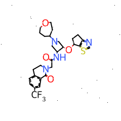 O=C(CN1CCc2ccc(C(F)(F)F)cc2C1=O)NC1CN(C2CCCOCC2)C[C@@H]1OC1CCc2ncsc21